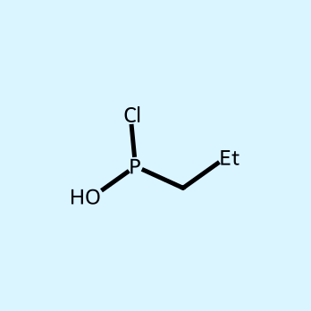 CCCP(O)Cl